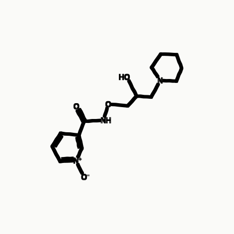 O=C(NOCC(O)CN1CCCCC1)c1ccc[n+]([O-])c1